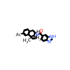 CC(=O)c1ccc2c(c1)[C@]1(C)CCN(C(=O)c3ccc4nc[nH]c4c3)[C@H](C2)[C@H]1C